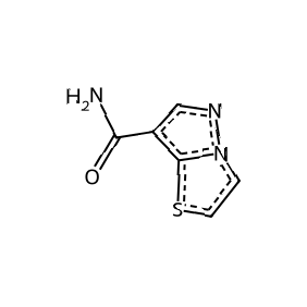 NC(=O)c1cnn2ccsc12